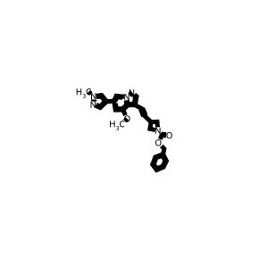 COc1cc(-c2cnn(C)c2)cn2ncc(C#CC3CN(C(=O)OCc4ccccc4)C3)c12